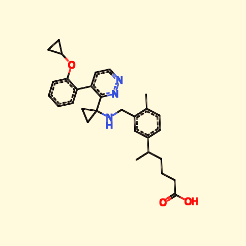 Cc1ccc(C(C)CCCC(=O)O)cc1CNC1(c2nnccc2-c2ccccc2OC2CC2)CC1